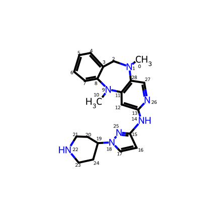 CN1Cc2ccccc2N(C)c2cc(Nc3ccn(C4CCNCC4)n3)ncc21